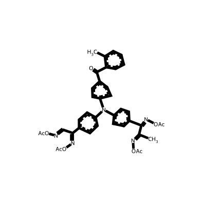 CC(=O)ON=C/C(=N\OC(C)=O)c1ccc(N(c2ccc(C(=O)c3ccccc3C)cc2)c2ccc(C(=NOC(C)=O)C(C)=NOC(C)=O)cc2)cc1